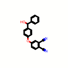 N#Cc1ccc(Oc2ccc(C(O)c3ccccc3)cc2)cc1C#N